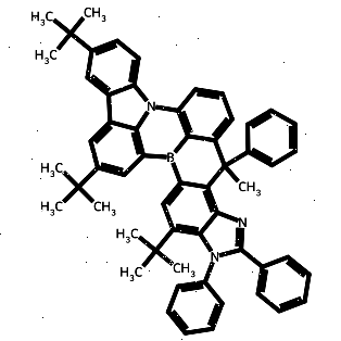 CC(C)(C)c1ccc2c(c1)c1cc(C(C)(C)C)cc3c1n2-c1cccc2c1B3c1cc(C(C)(C)C)c3c(nc(-c4ccccc4)n3-c3ccccc3)c1C2(C)c1ccccc1